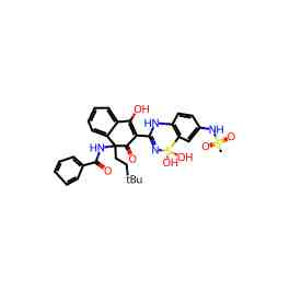 CC(C)(C)CCC1(NC(=O)c2ccccc2)C(=O)C(C2=NS(O)(O)c3cc(NS(C)(=O)=O)ccc3N2)=C(O)c2ccccc21